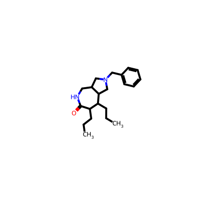 CCCC1C(=O)NCC2CN(Cc3ccccc3)CC2C1CCC